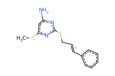 CSc1cc(N)nc(SC/C=C/c2ccccc2)n1